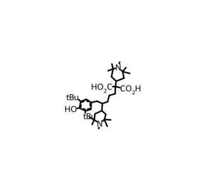 CN1C(C)(C)CC(C(CCCC(C(=O)O)(C(=O)O)C2CC(C)(C)N(C)C(C)(C)C2)Cc2cc(C(C)(C)C)c(O)c(C(C)(C)C)c2)CC1(C)C